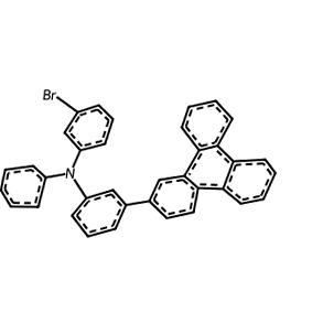 Brc1cccc(N(c2ccccc2)c2cccc(-c3ccc4c5ccccc5c5ccccc5c4c3)c2)c1